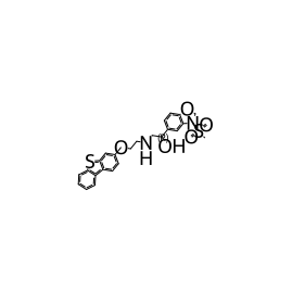 CS(=O)(=O)N1COc2ccc([C@@H](O)CNCCOc3ccc4c(c3)sc3ccccc34)cc21